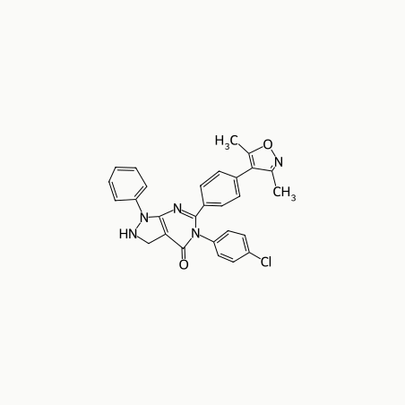 Cc1noc(C)c1-c1ccc(-c2nc3c(c(=O)n2-c2ccc(Cl)cc2)CNN3c2ccccc2)cc1